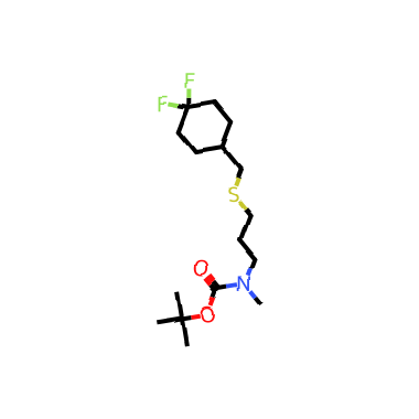 CN(CCCSCC1CCC(F)(F)CC1)C(=O)OC(C)(C)C